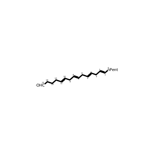 CCCCCC=CCC=CCC=CCC=CCCC[C]=O